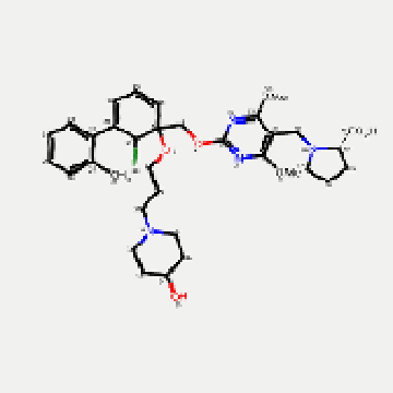 COc1nc(OCC2(OCCCN3CCC(O)CC3)C=CC=C(c3ccccc3C)C2F)nc(OC)c1CN1CCC[C@H]1C(=O)O